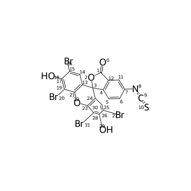 O=C1OC2(c3ccc(N=C=S)cc31)c1cc(Br)c(O)c(Br)c1Oc1c2cc(Br)c(O)c1Br